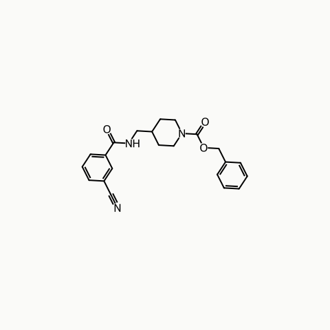 N#Cc1cccc(C(=O)NCC2CCN(C(=O)OCc3ccccc3)CC2)c1